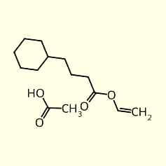 C=COC(=O)CCCC1CCCCC1.CC(=O)O